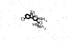 CCn1c2ccc(Cl)cc2c2cc(C(=O)NN)c(N)nc21